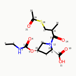 CCNC(=O)O[C@H]1C[C@@H](C(=O)O)N(C(=O)C(C)CSC(C)=O)C1